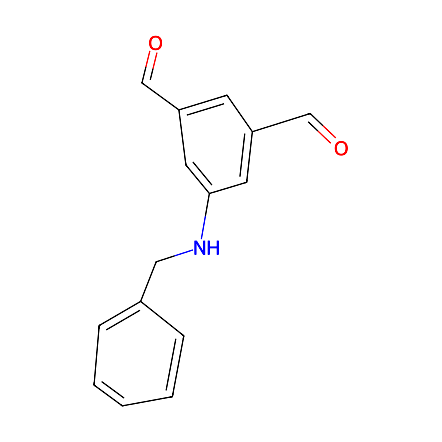 O=Cc1cc(C=O)cc(NCc2ccccc2)c1